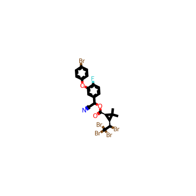 CC1(C)[C@H](C(=O)OC(C#N)c2ccc(F)c(Oc3ccc(Br)cc3)c2)[C@@H]1C(Br)C(Br)(Br)Br